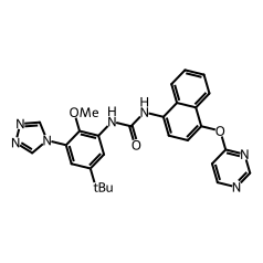 COc1c(NC(=O)Nc2ccc(Oc3ccncn3)c3ccccc23)cc(C(C)(C)C)cc1-n1cnnc1